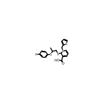 CC(CSC1C(C(=O)O)=CC=CN1Cc1cccs1)Sc1ccc(F)cc1